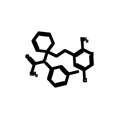 Cc1cccc(N(C(N)=O)C2(CCc3cc(Cl)cnc3N)C=CC=CC2)c1